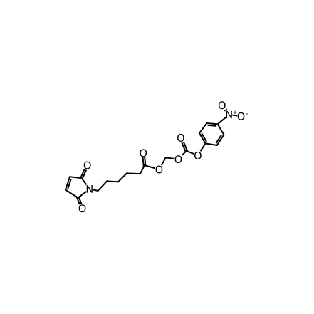 O=C(CCCCCN1C(=O)C=CC1=O)OCOC(=O)Oc1ccc([N+](=O)[O-])cc1